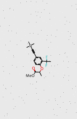 COC(=O)C(C)Oc1ccc(C#C[Si](C)(C)C)cc1C(C)(F)F